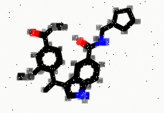 COC(=O)c1ccc(C(C)c2c[nH]c3ccc(C(=O)NCC4CCCC4)cc23)c(OC)c1